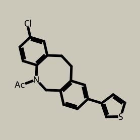 CC(=O)N1Cc2ccc(-c3ccsc3)cc2CCc2cc(Cl)ccc21